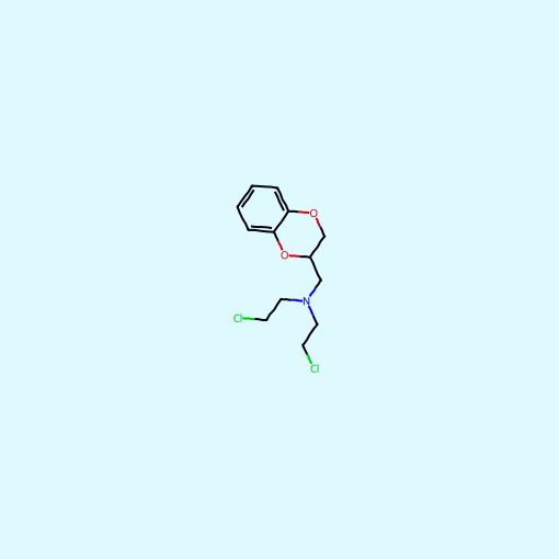 ClCCN(CCCl)CC1COc2ccccc2O1